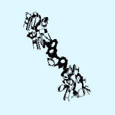 COC(=O)N[C@@H]1C(=O)N2[C@H](CC[C@H]2c2ncc(-c3ccc4c(c3)COc3cc5c(ccc6nc([C@@H]7CC[C@H](C)N7C(=O)[C@@H](NC(=O)OC)[C@@H](C)OC)[nH]c65)cc3-4)[nH]2)CC(F)O[C@@H]1C